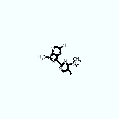 Cn1nc(-c2ncc(F)c([S+](C)[O-])n2)c2cc(Cl)cnc21